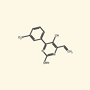 C=Cc1nc(SC)nc(-c2cccc([N+](=O)[O-])c2)c1C#N